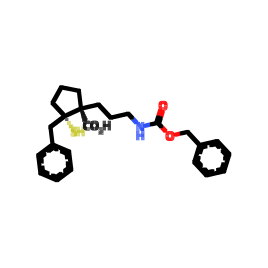 O=C(NCCC[C@@]1(C(=O)O)CCC[C@]1(S)Cc1ccccc1)OCc1ccccc1